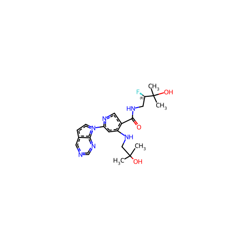 CC(C)(O)CNc1cc(-n2ccc3cncnc32)ncc1C(=O)NC[C@@H](F)C(C)(C)O